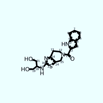 O=C(c1cc2ccccc2[nH]1)N1CCc2nc(NC(CO)CO)sc2C1